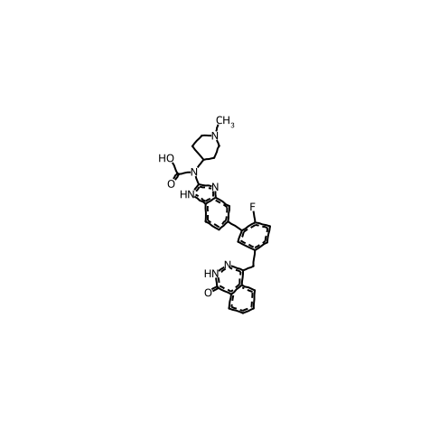 CN1CCC(N(C(=O)O)c2nc3cc(-c4cc(Cc5n[nH]c(=O)c6ccccc56)ccc4F)ccc3[nH]2)CC1